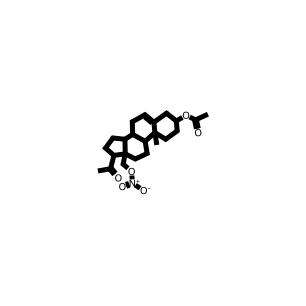 CC(=O)OC1CCC2(C)C(=CCC3C2CCC2(CO[N+](=O)[O-])C(C(C)=O)CCC32)C1